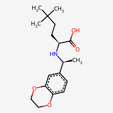 C[C@H](N[C@@H](CCC(C)(C)C)C(=O)O)c1ccc2c(c1)OCCO2